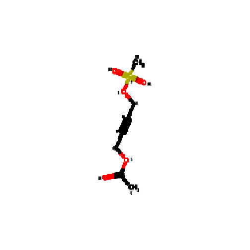 CC(=O)OCC#CCOS(C)(=O)=O